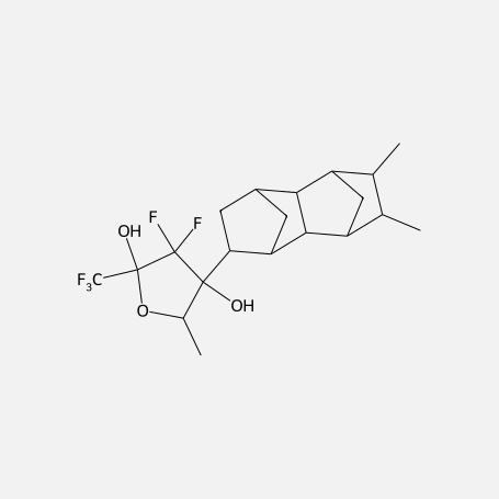 CC1C(C)C2CC1C1C3CC(C21)C(C1(O)C(C)OC(O)(C(F)(F)F)C1(F)F)C3